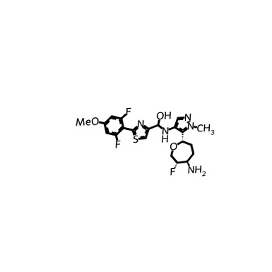 COc1cc(F)c(-c2nc(C(O)Nc3cnn(C)c3[C@@H]3CC[C@@H](N)[C@H](F)CO3)cs2)c(F)c1